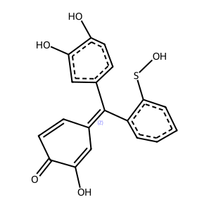 O=C1C=C/C(=C(\c2ccc(O)c(O)c2)c2ccccc2SO)C=C1O